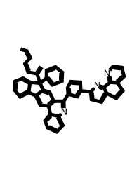 C=C(/C=C\C=C/C)C1(c2ccccc2)c2ccccc2-c2cc3c(cc21)c(-c1cccc(-c2ccc4ccc5cccnc5c4n2)c1)nc1ccccc13